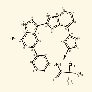 CC(C)(C)C(=O)Nc1cncc(-c2cc(F)c3[nH]nc(-c4nc5c(-c6ccc(F)s6)ccnc5[nH]4)c3c2)c1